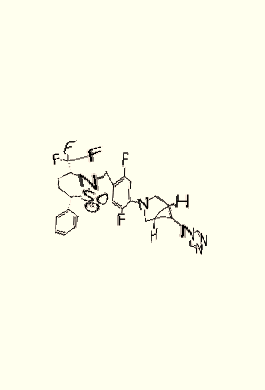 O=S1(=O)[C@H](c2ccccc2)CC[C@H](C(F)(F)F)N1Cc1cc(F)c(N2C[C@@H]3C(n4cnnc4)[C@@H]3C2)cc1F